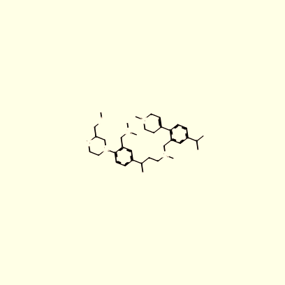 COCC1CN(c2ccc(C(C)CCN(C)Cc3cc(C(C)C)ccc3C3=CCN(C)CC3)cc2CN(C)C)CCN1